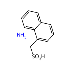 N.O=S(=O)(O)Cc1cccc2ccccc12